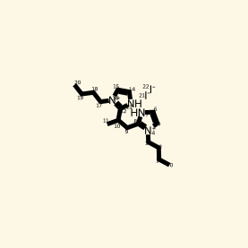 CCCC[n+]1cc[nH]c1CC(C)c1[nH]cc[n+]1CCCC.[I-].[I-]